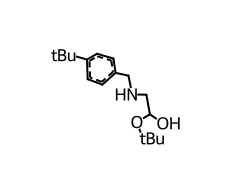 CC(C)(C)OC(O)CNCc1ccc(C(C)(C)C)cc1